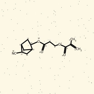 C=C(C)C(=O)OCCC(=O)OC1CC2CC1CC2C#N